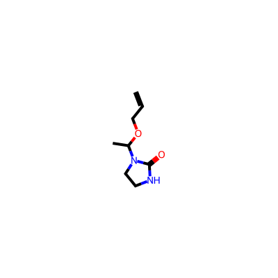 C=CCOC(C)N1CCNC1=O